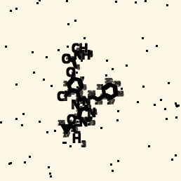 CNC(=O)COc1ccc(-c2nc3c(OC4(C)CC4)ncnc3n2CCc2ccccc2)c(Cl)c1